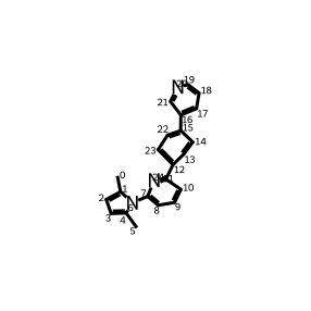 Cc1ccc(C)n1-c1cccc(-c2ccc(-c3cccnc3)cc2)n1